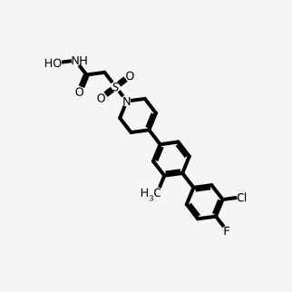 Cc1cc(C2=CCN(S(=O)(=O)CC(=O)NO)CC2)ccc1-c1ccc(F)c(Cl)c1